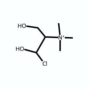 C[N+](C)(C)C(CO)C(O)Cl